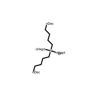 CCCCCCCCCCCCCC[N+](CCCCCCC)(CCCCCCC)CCCCCCCCCCCCCC.[Br-]